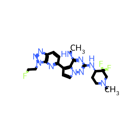 CNc1nc(N[C@@H]2CCN(C)CC2(F)F)nn2ccc(-c3ccc4nnn(CCF)c4n3)c12